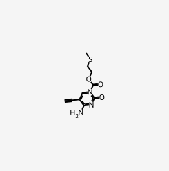 C#Cc1cn(C(=O)OCCSC)c(=O)nc1N